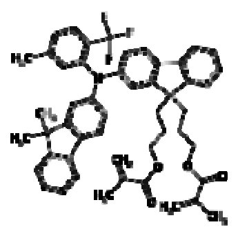 C=C(C)C(=O)OCCCC1(CCCOC(=O)C(=C)C)c2ccccc2-c2ccc(N(c3ccc4c(c3)C(C)(C)c3ccccc3-4)c3cc(C)ccc3C(F)(F)F)cc21